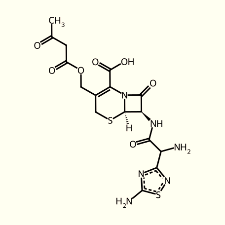 CC(=O)CC(=O)OCC1=C(C(=O)O)N2C(=O)[C@@H](NC(=O)C(N)c3nsc(N)n3)[C@H]2SC1